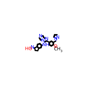 COc1ccc(-c2nc3cnccn3c2Nc2ccc3c(c2)CC/C3=N\O)cc1Cn1cccn1